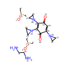 C[S+](C)[O-].C[S+](C)[O-].NCCN.O=C1C=C(N2CC2)C(=O)C(N2CC2)=C1N1CC1